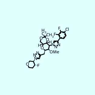 CO[C@@H]1C(n2cc(-c3ccc(Cl)c(F)c3F)nn2)[C@H]2OC(C)(C)OC[C@H]2O[C@@H]1Cc1cn([C@@H]2COCC[C@H]2F)nn1